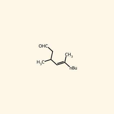 CCCCC(C)=CC(C)CC=O